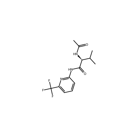 CC(=O)N[C@H](C(=O)Nc1cccc(C(F)(F)F)n1)C(C)C